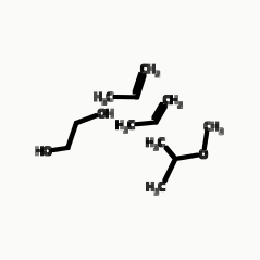 C=CC.C=CC.COC(C)C.OCCO